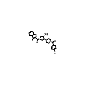 Cc1c(C(=O)N2C[C@H](O)[C@@H](N3CCN(C(=O)c4ccc(Cl)cc4)CC3)C2)sc2ccccc12